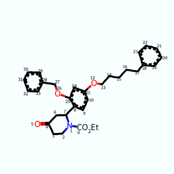 CCOC(=O)N1CCC(=O)CC1c1ccc(OCCCCCc2ccccc2)cc1OCc1ccccc1